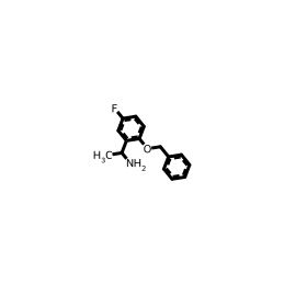 CC(N)c1cc(F)ccc1OCc1ccccc1